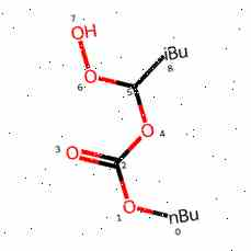 CCCCOC(=O)OC(OO)C(C)CC